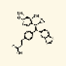 COc1cc(C)c(/C(=C(\c2ccc(/C=C/C(=O)O)cc2)c2ccc3scnc3c2)C2CC2)cn1